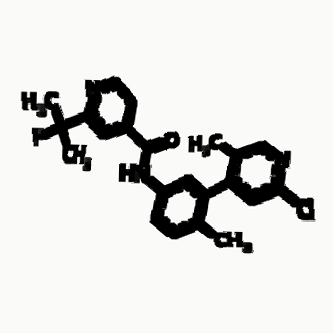 Cc1ccc(NC(=O)c2ccnc(C(C)(C)F)c2)cc1-c1cc(Cl)ncc1C